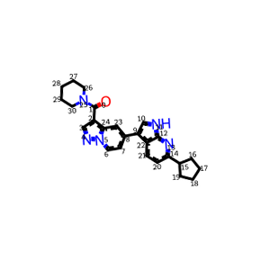 O=C(c1cnn2ccc(-c3c[nH]c4nc(C5CCCC5)ccc34)cc12)N1CCCCC1